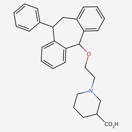 O=C(O)C1CCCN(CCOC2c3ccccc3CC(c3ccccc3)c3ccccc32)C1